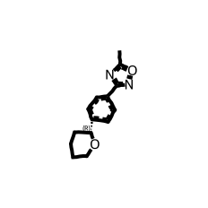 Cc1nc(-c2ccc([C@H]3CCCCO3)cc2)no1